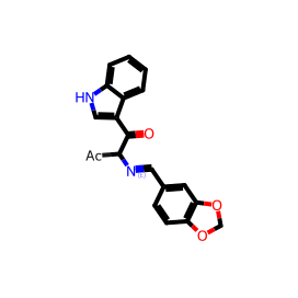 CC(=O)C(/N=C/c1ccc2c(c1)OCO2)C(=O)c1c[nH]c2ccccc12